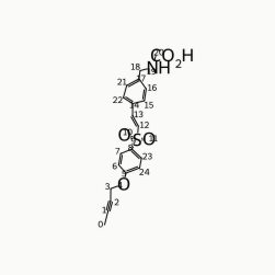 CC#CCOc1ccc(S(=O)(=O)C=Cc2ccc(CNC(=O)O)cc2)cc1